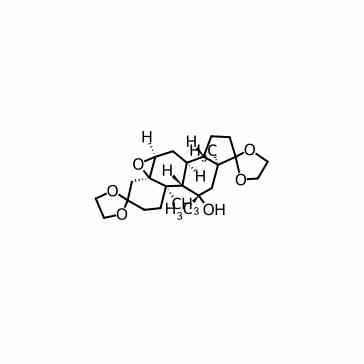 C[C@]1(O)C[C@@]2(C)[C@@H](CCC23OCCO3)[C@@H]2C[C@@H]3O[C@@]34CC3(CC[C@]4(C)[C@H]21)OCCO3